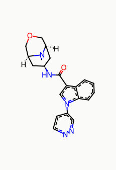 CN1[C@@H]2COC[C@H]1C[C@@H](NC(=O)c1cn(-c3ccnnc3)c3ccccc13)C2